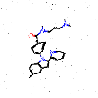 CC1CCC2=C(C1)CC(c1ccccn1)N2c1ccc(C(=O)N(C)CCCN(C)C)cc1